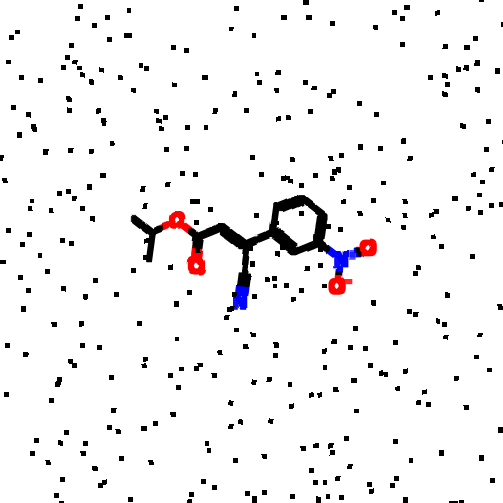 CC(C)OC(=O)C=C(C#N)c1cccc([N+](=O)[O-])c1